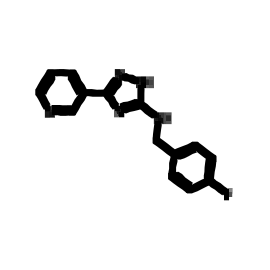 Fc1ccc(CNc2nc(-c3cccnc3)n[nH]2)cc1